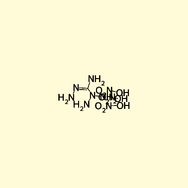 NN=C(N)N(N)N.O=[N+]([O-])O.O=[N+]([O-])O.O=[N+]([O-])O